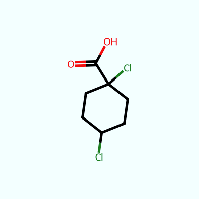 O=C(O)C1(Cl)CCC(Cl)CC1